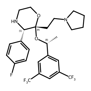 C[C@@H](O[C@@]1(CCN2CCCC2)OCCN[C@H]1c1ccc(F)cc1)c1cc(C(F)(F)F)cc(C(F)(F)F)c1